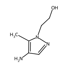 Cc1c(N)cnn1CCO